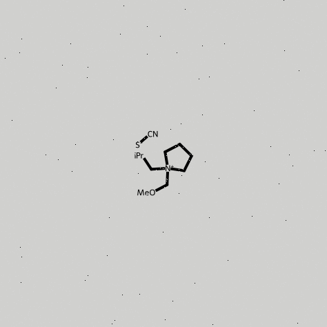 COC[N+]1(CC(C)C)CCCC1.N#C[S-]